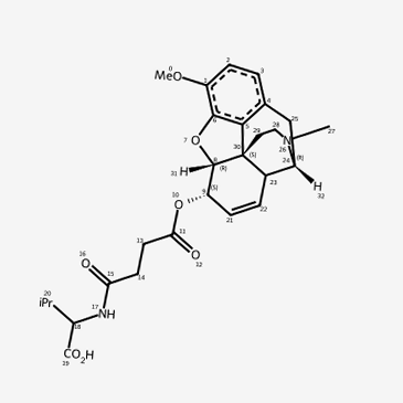 COc1ccc2c3c1O[C@H]1[C@@H](OC(=O)CCC(=O)NC(C(=O)O)C(C)C)C=CC4[C@@H](C2)N(C)CC[C@@]341